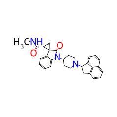 CNC(=O)[C@@H]1C[C@]12C(=O)N(C1CCN(C3Cc4cccc5cccc3c45)CC1)c1ccccc12